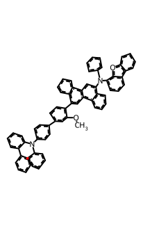 COc1cc(-c2ccc(N(c3ccccc3)c3ccccc3-c3ccccc3)cc2)ccc1-c1cc2c3ccccc3c(N(c3ccccc3)c3cccc4c3oc3ccccc34)cc2c2ccccc12